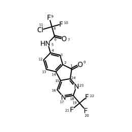 O=C1c2cc(NC(=O)C(F)(F)Cl)ccc2-c2cnc(C(F)(F)F)nc21